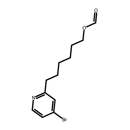 O=COCCCCCCc1cc(Br)ccn1